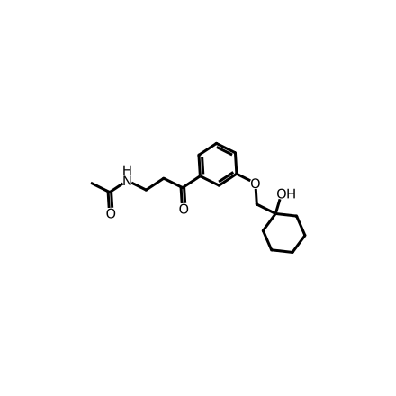 CC(=O)NCCC(=O)c1cccc(OCC2(O)CCCCC2)c1